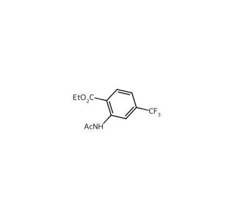 CCOC(=O)c1ccc(C(F)(F)F)cc1NC(C)=O